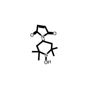 CC1(C)CCCC(C)(C)N1O.O=C1C=CC(=O)N1